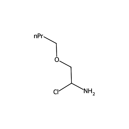 CCCCOCC(N)Cl